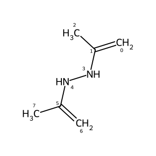 C=C(C)NNC(=C)C